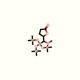 COC(C1CCC(=O)O1)[Si](O[Si](C)(C)C)(O[Si](C)(C)C)O[Si](C)(C)C